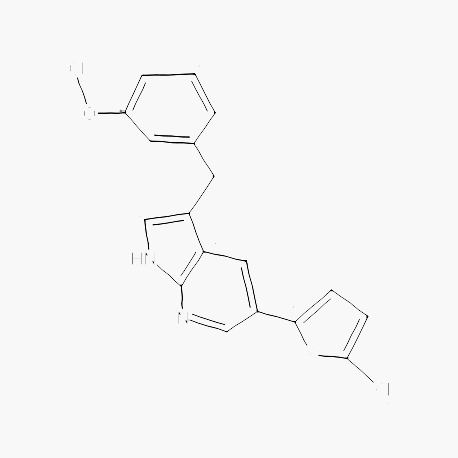 COc1cccc(Cc2c[nH]c3ncc(-c4ccc(Cl)s4)cc23)c1